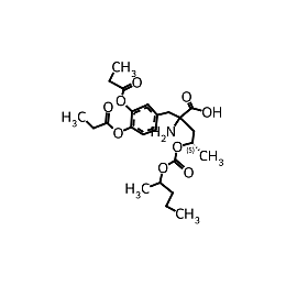 CCCC(C)OC(=O)O[C@@H](C)CC(N)(Cc1ccc(OC(=O)CC)c(OC(=O)CC)c1)C(=O)O